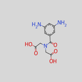 Nc1cc(N)cc(C(=O)N(CC(=O)O)CC(=O)O)c1